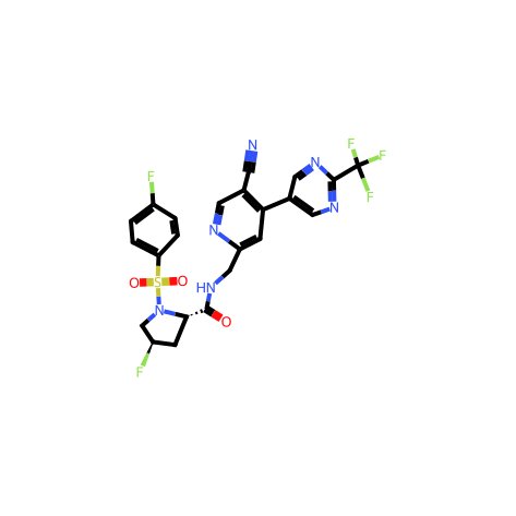 N#Cc1cnc(CNC(=O)[C@@H]2C[C@@H](F)CN2S(=O)(=O)c2ccc(F)cc2)cc1-c1cnc(C(F)(F)F)nc1